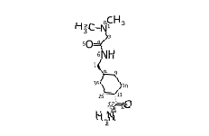 CN(C)CC(=O)NC[C@H]1CC[C@H](C(N)=O)CC1